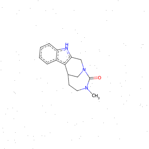 CN1CCC2CN(Cc3[nH]c4ccccc4c32)C1=O